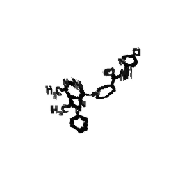 Cc1nnc(N2CCCC(C(=O)Nc3ccc(Cl)cn3)C2)c2nn(-c3ccccc3)c(C)c12